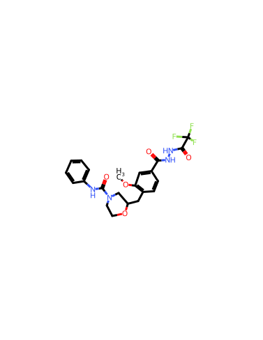 COc1cc(C(=O)NNC(=O)C(F)(F)F)ccc1CC1CN(C(=O)Nc2ccccc2)CCO1